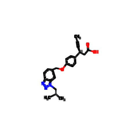 CC#C[C@@H](CC(=O)O)c1ccc(OCc2ccc3nnn(CC(C)C)c3c2)cc1